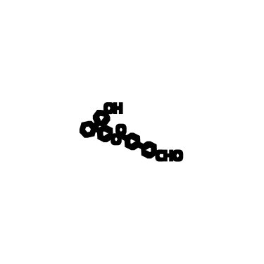 O=Cc1ccc(-c2ccc(C(=O)Oc3ccc(C4(c5ccc(O)cc5)CCCCC4)cc3)cc2)cc1